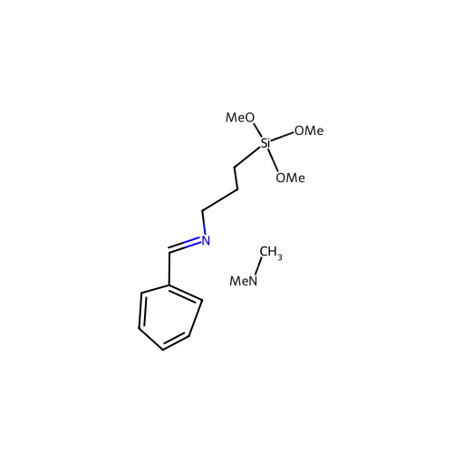 CNC.CO[Si](CCCN=Cc1ccccc1)(OC)OC